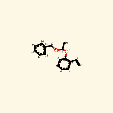 C=Cc1ccccc1OC(C)OCc1ccccc1